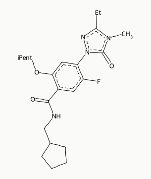 CCCC(C)Oc1cc(-n2nc(CC)n(C)c2=O)c(F)cc1C(=O)NCC1CCCC1